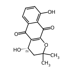 CC1(C)C[C@H](O)C2=C(O1)C(=O)c1c(O)cccc1C2=O